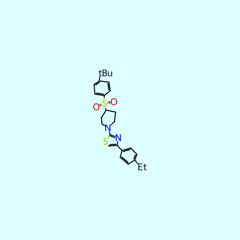 CCc1ccc(-c2csc(N3CCC(S(=O)(=O)c4ccc(C(C)(C)C)cc4)CC3)n2)cc1